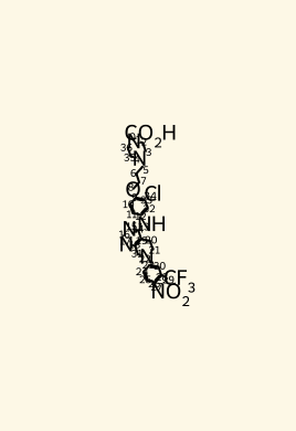 O=C(O)N1CCN(CCCOc2ccc(Nc3ncnc4c3CCN(c3ccc([N+](=O)[O-])c(C(F)(F)F)c3)C4)cc2Cl)CC1